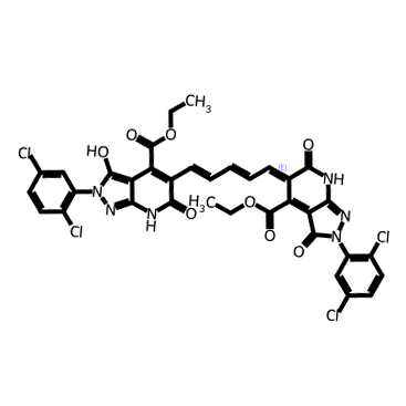 CCOC(=O)c1c2c([nH]c(=O)/c1=C/C=CC=Cc1c(C(=O)OCC)c3c(O)n(-c4cc(Cl)ccc4Cl)nc3[nH]c1=O)=NN(c1cc(Cl)ccc1Cl)C2=O